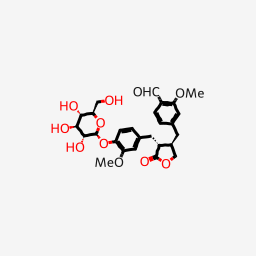 COc1cc(C[C@H]2COC(=O)[C@@H]2Cc2ccc(O[C@@H]3O[C@H](CO)[C@@H](O)[C@H](O)[C@H]3O)c(OC)c2)ccc1C=O